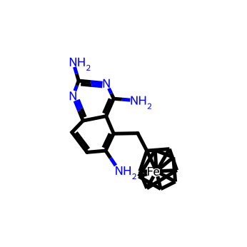 Nc1nc(N)c2c(C[C]34[CH]5[CH]6[CH]7[CH]3[Fe]6754389%10[CH]4[CH]3[CH]8[CH]9[CH]4%10)c(N)ccc2n1